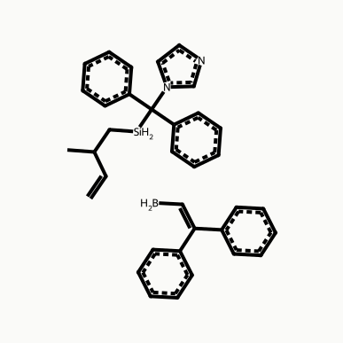 BC=C(c1ccccc1)c1ccccc1.C=CC(C)C[SiH2]C(c1ccccc1)(c1ccccc1)n1ccnc1